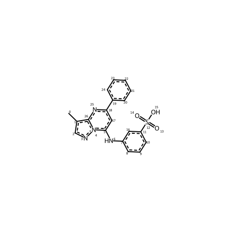 Cc1cnn2c(Nc3cccc(S(=O)(=O)O)c3)cc(-c3ccccc3)nc12